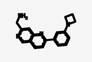 NCc1cc2nc(-c3cccc(N4CCC4)c3)ccc2cn1